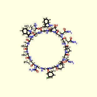 CCCC[C@H]1C(=O)N(C)[C@@H](CCCC)C(=O)N[C@@H](CC(C)C)C(=O)N[C@H](C(N)=O)CNCC(=O)N[C@@H](Cc2ccc(F)cc2)C(=O)N2CCCC[C@H]2C(=O)N[C@@H](CC(N)=O)C(=O)N2CCC[C@H]2C(=O)N[C@@H](CCC(N)=O)C(=O)N[C@@H](CCC(N)=O)C(=O)N2C[C@H](O)C[C@H]2C(=O)N[C@@H](Cc2c[nH]c3ccccc23)C(=O)N[C@@H](CC(N)=O)C(=O)N[C@@H](Cc2cn(CC(=O)O)c3ccccc23)C(=O)N1C